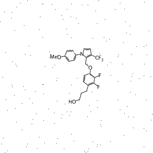 COc1ccc(-n2ccc(C(F)(F)F)c2COc2ccc(CCCO)c(F)c2F)cc1